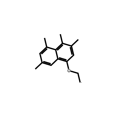 [CH2]COc1cc(C)c(C)c2c(C)cc(C)cc12